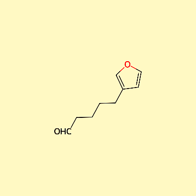 O=CCCCCc1ccoc1